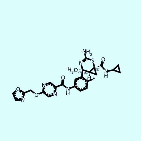 C[C@]1(c2cc(NC(=O)c3cnc(OCc4ncco4)cn3)ccc2F)N=C(N)S[C@@]2(C(=O)NC3CC3)C[C@H]21